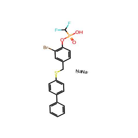 O=P(O)(Oc1ccc(CSc2ccc(-c3ccccc3)cc2)cc1Br)C(F)F.[Na].[Na]